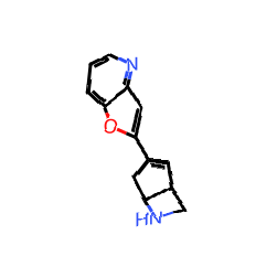 C1=C(c2cc3ncccc3o2)CC2NCC12